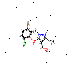 Cc1nn(C)c(Oc2cc(Br)ccc2Cl)c1CO